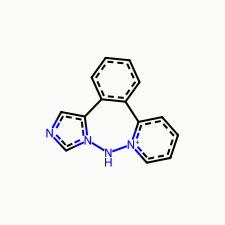 c1ccc2c(c1)-c1cncn1N[n+]1ccccc1-2